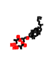 C=C(CO)C(=O)OCC(COC(=O)C(=C)CO)CO[C@H]1CC[C@@]2(C)[C@@H](CC[C@@H]3[C@@H]2CC[C@]2(C)[C@@H]([C@H](C)CCCC(C)C)CC[C@@H]32)C1